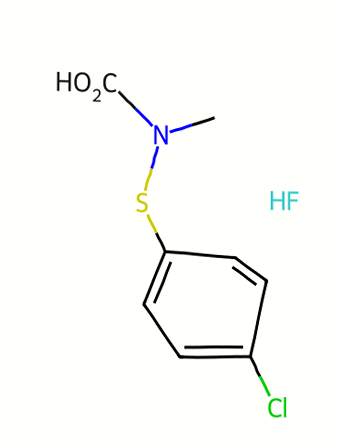 CN(Sc1ccc(Cl)cc1)C(=O)O.F